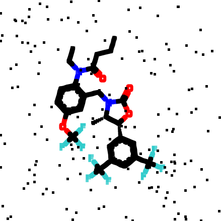 CCCC(=O)N(CC)c1ccc(OC(F)(F)F)cc1CN1C(=O)O[C@H](c2cc(C(F)(F)F)cc(C(F)(F)F)c2)[C@@H]1C